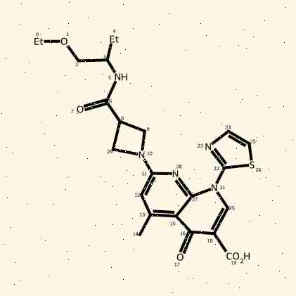 CCOCC(CC)NC(=O)C1CN(c2cc(C)c3c(=O)c(C(=O)O)cn(-c4nccs4)c3n2)C1